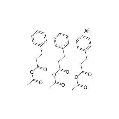 CC(=O)OC(=O)CCc1ccccc1.CC(=O)OC(=O)CCc1ccccc1.CC(=O)OC(=O)CCc1ccccc1.[Al]